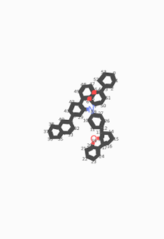 c1ccc(-c2ccc(N(c3ccc(-c4cccc5c4oc4ccccc45)cc3)c3cc(-c4ccc5ccccc5c4)ccc3-c3ccccc3)cc2)cc1